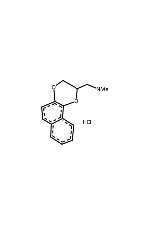 CNCC1COc2ccc3ccccc3c2O1.Cl